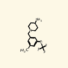 Cc1cc(CN2CCC(N)CC2)cc(OC(F)(F)F)c1